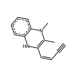 C#C/C=C\C1=C(C)N(C)c2ccccc2N1